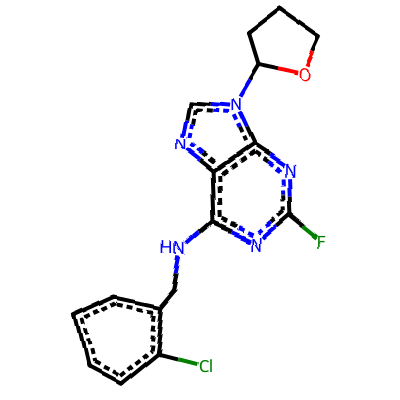 Fc1nc(NCc2ccccc2Cl)c2ncn(C3CCCO3)c2n1